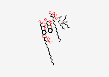 CCCCCCCCCCCCC/C(=C/C(=O)[O-])C(=O)[O-].CCCCCCCCCCCCC/C(=C/C(=O)[O-])C(=O)[O-].CCC[CH2][Sn+2][CH2]CCC.CCC[CH2][Sn+2][CH2]CCC.O=C([O-])/C=C(/Cc1ccccc1)C(=O)[O-].O=C([O-])/C=C(/Cc1ccccc1)C(=O)[O-]